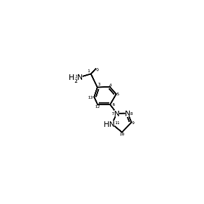 CC(N)c1ccc(N2N=CCN2)cc1